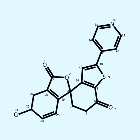 O=C1OC2(CCC(=O)c3sc(-c4ccncc4)cc32)C2=C1CC(Cl)C=C2